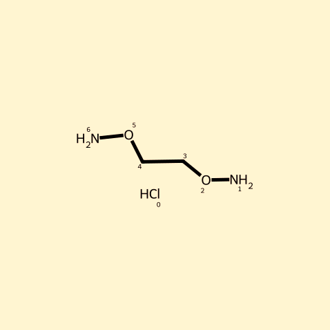 Cl.NOCCON